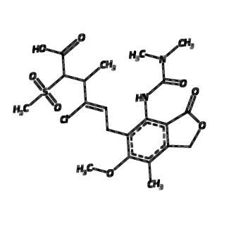 COc1c(C)c2c(c(NC(=O)N(C)C)c1CC=C(Cl)C(C)C(C(=O)O)S(C)(=O)=O)C(=O)OC2